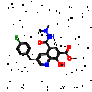 COC(=O)c1cc(C(=O)NN(C)C)c2cc(Cc3ccc(F)cc3)cnc2c1O